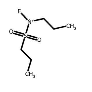 CCC[N+](F)S(=O)(=O)CCC